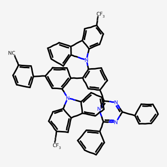 N#Cc1cccc(-c2ccc(-c3cc(-c4nc(-c5ccccc5)nc(-c5ccccc5)n4)ccc3-n3c4ccccc4c4cc(C(F)(F)F)ccc43)c(-n3c4ccccc4c4cc(C(F)(F)F)ccc43)c2)c1